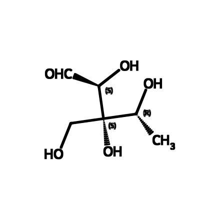 C[C@@H](O)[C@@](O)(CO)[C@H](O)C=O